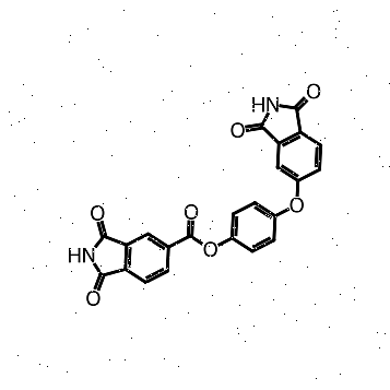 O=C(Oc1ccc(Oc2ccc3c(c2)C(=O)NC3=O)cc1)c1ccc2c(c1)C(=O)NC2=O